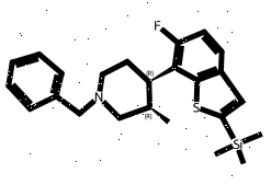 C[C@H]1CN(Cc2ccccc2)CC[C@H]1c1c(F)ccc2cc([Si](C)(C)C)sc12